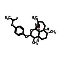 CC(F)Oc1ccc(O[C@H]2O[C@@H]3O[C@@]4(C)CC[C@H]5[C@H](C)CC[C@@H]([C@H]2C)[C@@]35OO4)cc1